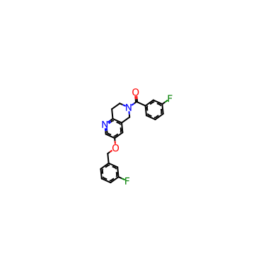 O=C(c1cccc(F)c1)N1CCc2ncc(OCc3cccc(F)c3)cc2C1